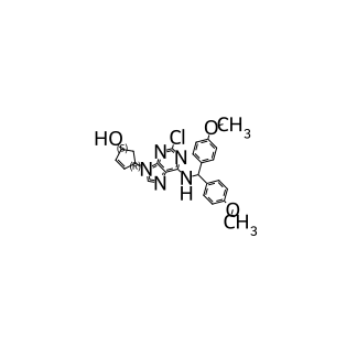 COc1ccc(C(Nc2nc(Cl)nc3c2ncn3[C@H]2C=C[C@@H](O)C2)c2ccc(OC)cc2)cc1